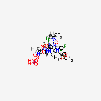 CC(C)(CNC(=O)OCOP(=O)(O)O)CC(=O)N(c1nn(CC(F)(F)F)c2c(-c3ccc(C#CC(C)(C)S(C)(=O)=O)nc3[C@H](Cc3cc(F)cc(F)c3)NC(=O)Cn3nc(C(F)(F)F)c4c3C(F)(F)[C@@H]3C[C@H]43)ccc(Cl)c12)S(C)(=O)=O